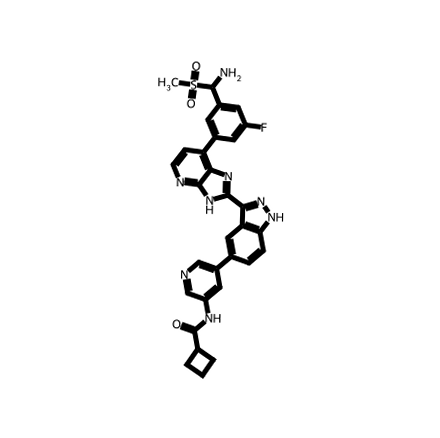 CS(=O)(=O)C(N)c1cc(F)cc(-c2ccnc3[nH]c(-c4n[nH]c5ccc(-c6cncc(NC(=O)C7CCC7)c6)cc45)nc23)c1